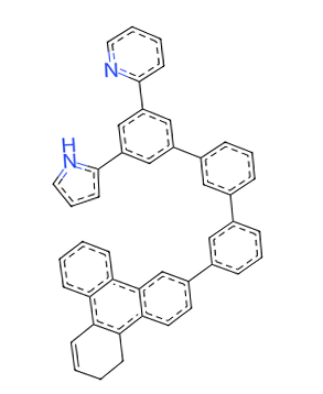 C1=Cc2c(c3ccc(-c4cccc(-c5cccc(-c6cc(-c7ccccn7)cc(-c7ccc[nH]7)c6)c5)c4)cc3c3ccccc23)CC1